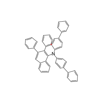 c1ccc(-c2ccc(N(c3ccc(-c4ccccc4)cc3)c3c(-c4ccccc4)c(-c4ccccc4)cc4ccccc34)cc2)cc1